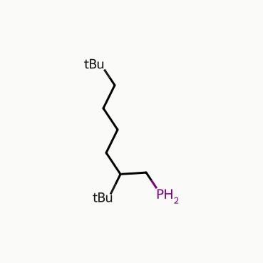 CC(C)(C)CCCCC(CP)C(C)(C)C